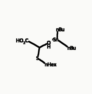 CCCCCCSC(O)C(=O)O.CCC[CH2][Sn][CH2]CCC